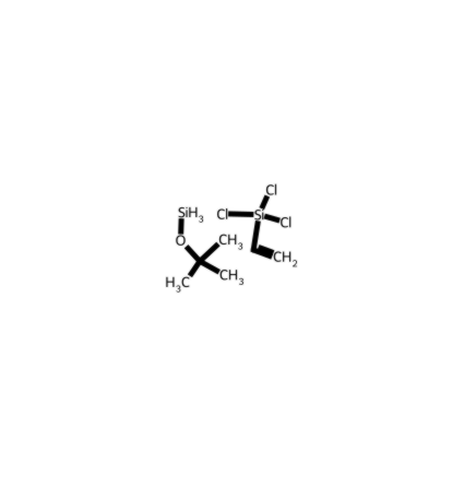 C=C[Si](Cl)(Cl)Cl.CC(C)(C)O[SiH3]